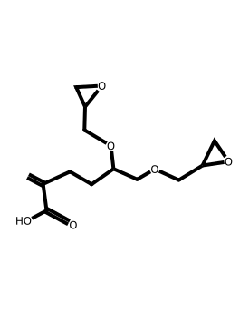 C=C(CCC(COCC1CO1)OCC1CO1)C(=O)O